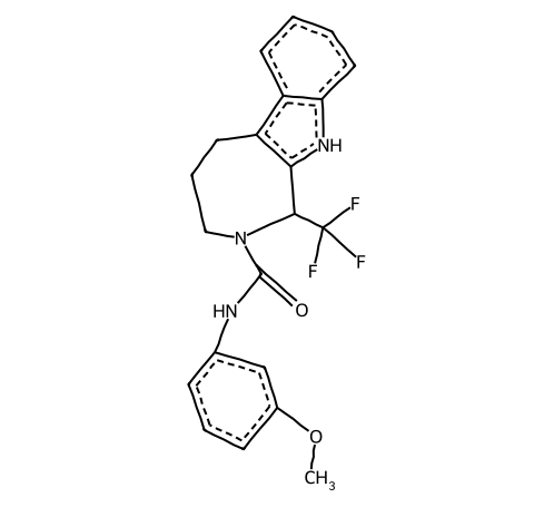 COc1cccc(NC(=O)N2CCCc3c([nH]c4ccccc34)C2C(F)(F)F)c1